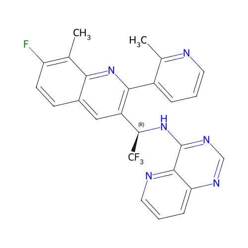 Cc1ncccc1-c1nc2c(C)c(F)ccc2cc1[C@@H](Nc1ncnc2cccnc12)C(F)(F)F